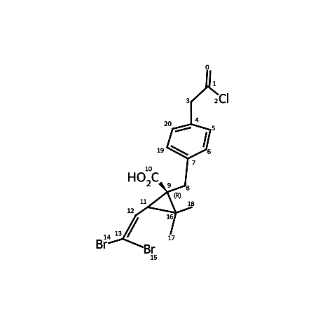 C=C(Cl)Cc1ccc(C[C@@]2(C(=O)O)C(C=C(Br)Br)C2(C)C)cc1